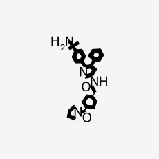 CC(C)(N)c1ccc(-c2ncc(NC(=O)C[C@H]3CC[C@H](C(=O)N4CCCC4)CC3)cc2-c2ccccc2)cc1